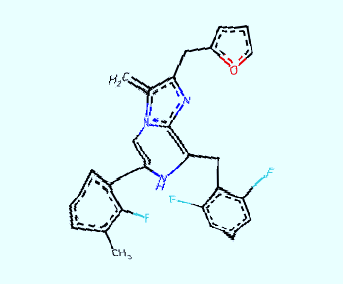 C=c1c(Cc2ccco2)nc2n1C=C(c1cccc(C)c1F)NC=2Cc1c(F)cccc1F